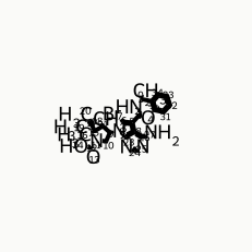 C[C@@H](NC(=O)c1c(Br)n([C@H]2CN(C(=O)O)[C@](C)(C(C)(C)C)C2)c2ncnc(N)c12)c1ccccc1